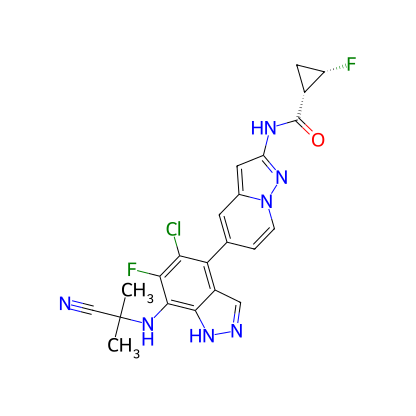 CC(C)(C#N)Nc1c(F)c(Cl)c(-c2ccn3nc(NC(=O)[C@@H]4C[C@@H]4F)cc3c2)c2cn[nH]c12